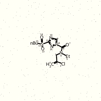 C=C(Cl)CN(CC)C(=O)n1cnc(S(=O)(=O)CCCC)n1